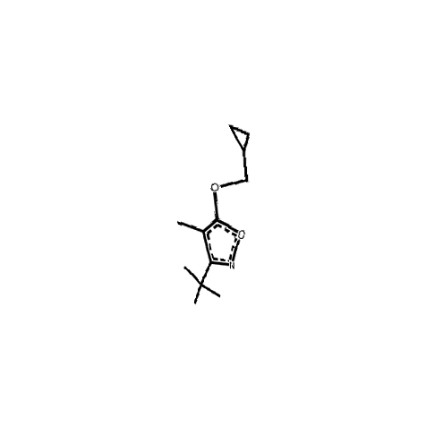 Cc1c(C(C)(C)C)noc1OCC1CC1